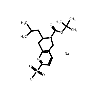 CC(C)CC1Cc2nc(S(=O)(=O)[O-])ccc2CN1C(=O)OC(C)(C)C.[Na+]